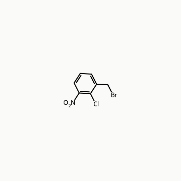 O=[N+]([O-])c1cccc(CBr)c1Cl